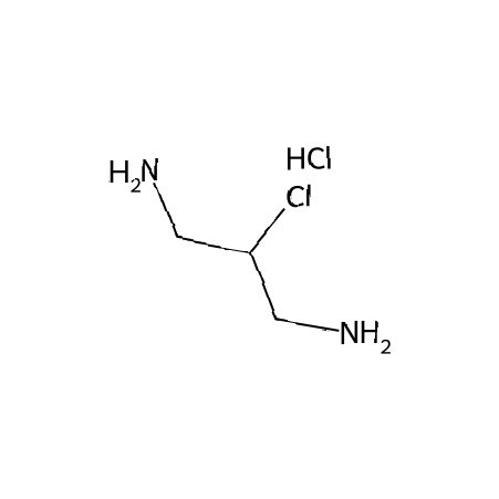 Cl.NCC(Cl)CN